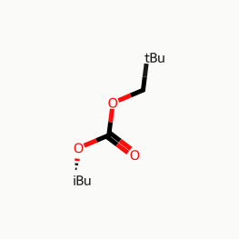 C[CH][C@@H](C)OC(=O)OCC(C)(C)C